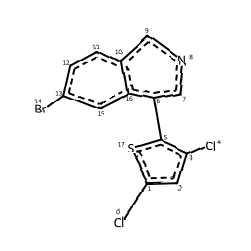 Clc1cc(Cl)c(-c2cncc3ccc(Br)cc23)s1